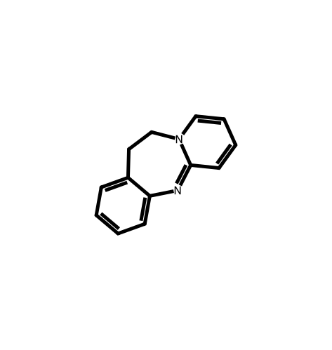 C1=CC2=Nc3ccccc3CCN2C=C1